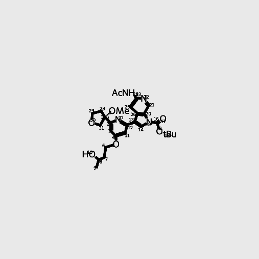 CO[C@@]1(c2cc(OCCC(C)O)cc(-c3cn(C(=O)OC(C)(C)C)c4cnc(NC(C)=O)cc34)n2)CCOC1